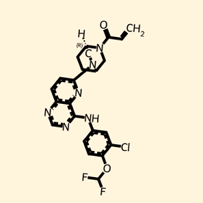 C=CC(=O)N1CC2CC[C@@H]1CN2c1ccc2ncnc(Nc3ccc(OC(F)F)c(Cl)c3)c2n1